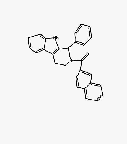 O=C(c1ccc2ccccc2c1)N1CCc2c([nH]c3ccccc23)C1c1ccccc1